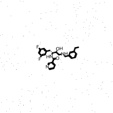 CCc1cccc(CNC[C@H](O)[C@@H](Cc2cc(F)cc(F)c2)NC(=O)c2cccnc2)c1